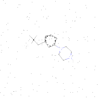 CCN1CCN(c2cccc(CC(C)(C)[C]=O)c2)CC1